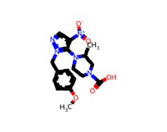 COc1ccc(Cn2ncc([N+](=O)[O-])c2N2CCN(C(=O)O)CC2C)cc1